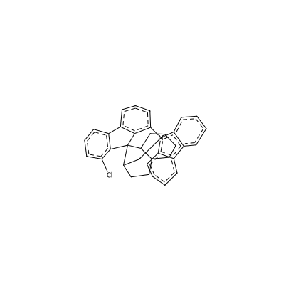 Clc1cccc2c1C1(c3c-2cccc3-n2c3ccccc3c3ccccc32)C2CCC3CCC(C2)CC31